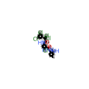 Cc1ccc2c(NC(=O)c3cc(NC(=O)[C@H]4[C@H](c5cc(Cl)cc(Cl)c5)C4(Cl)Cl)ccc3Cl)n[nH]c2c1